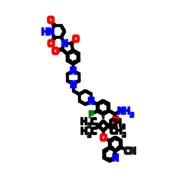 CC1(C)[C@H](Oc2ccc(C#N)c3ncccc23)C(C)(C)[C@H]1c1c(C(N)=O)ccc(N2CCC(CN3CCN(c4ccc5c(c4)C(=O)N(C4CCC(=O)NC4=O)C5=O)CC3)CC2)c1F